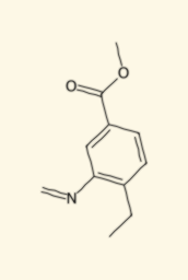 C=Nc1cc(C(=O)OC)ccc1CC